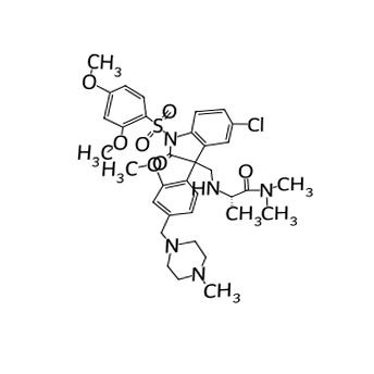 COc1ccc(S(=O)(=O)N2C(=O)C(CN[C@@H](C)C(=O)N(C)C)(c3ccc(CN4CCN(C)CC4)cc3OC)c3cc(Cl)ccc32)c(OC)c1